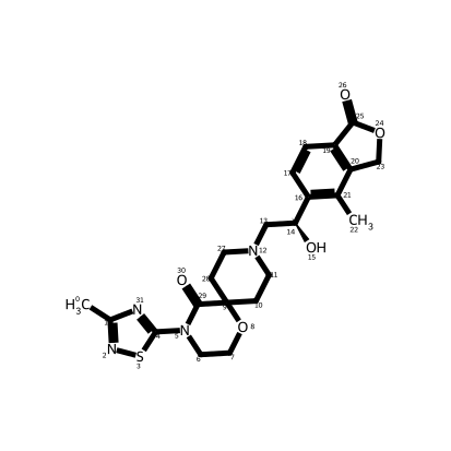 Cc1nsc(N2CCOC3(CCN(C[C@H](O)c4ccc5c(c4C)COC5=O)CC3)C2=O)n1